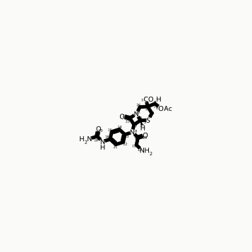 CC(=O)OCC1(C(=O)O)CS[C@@H]2C(N(C(=O)CN)c3ccc(NC(N)=O)cc3)C(=O)N2C1